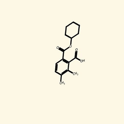 Cc1ccc(C(=O)OC2CCCCC2)c(C(=O)O)c1C